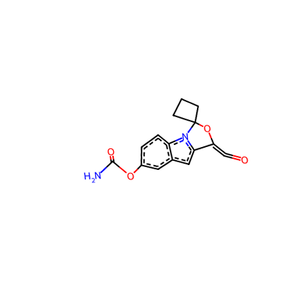 NC(=O)Oc1ccc2c(c1)cc1n2C2(CCC2)OC1=C=O